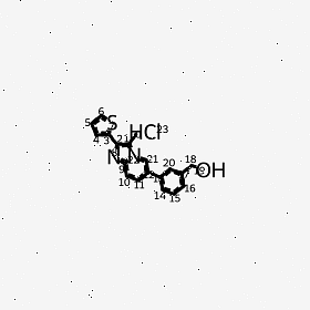 Cc1c(-c2cccs2)nc2ccc(-c3cccc(CO)c3)cn12.Cl